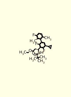 CCOC(=O)C[C@H](N[S@+]([O-])C(C)(C)C)c1c(F)c(-c2c(C)ccc(F)c2C)cc(C2CC2)c1F